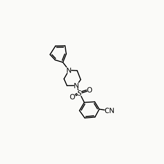 N#Cc1cccc(S(=O)(=O)N2CCN(c3ccccc3)CC2)c1